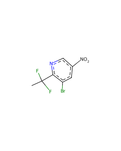 CC(F)(F)c1ncc([N+](=O)[O-])cc1Br